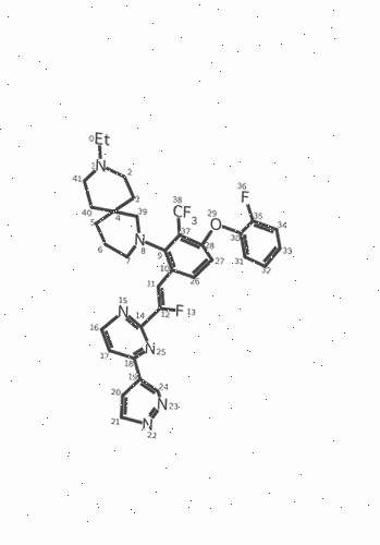 CCN1CCC2(CCCN(c3c(/C=C(\F)c4nccc(-c5ccnnc5)n4)ccc(Oc4ccccc4F)c3C(F)(F)F)C2)CC1